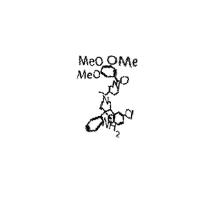 COc1cc(C(=O)N2CCC(C(C)N3CCC(C(N)=O)(c4ccccc4)C(c4cccc(Cl)c4)C3)C2)cc(OC)c1OC